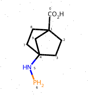 O=C(O)C12CCC(NP)(CC1)C2